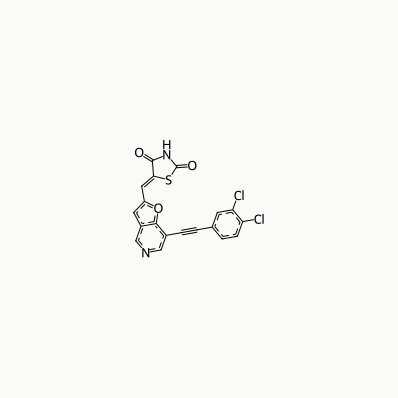 O=C1NC(=O)C(=Cc2cc3cncc(C#Cc4ccc(Cl)c(Cl)c4)c3o2)S1